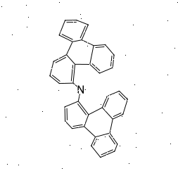 c1ccc2c(c1)c1ccccc1c1c([N]c3cccc4c5ccccc5c5ccccc5c34)cccc21